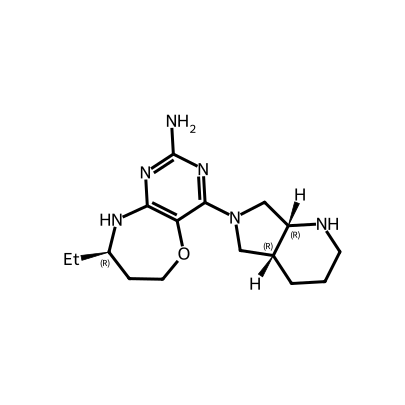 CC[C@@H]1CCOc2c(nc(N)nc2N2C[C@H]3CCCN[C@H]3C2)N1